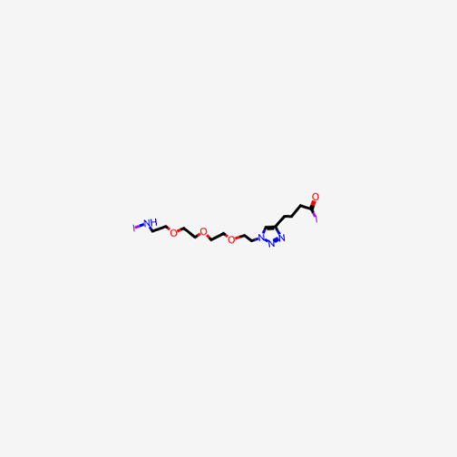 O=C(I)CCCc1cn(CCOCCOCCOCCNI)nn1